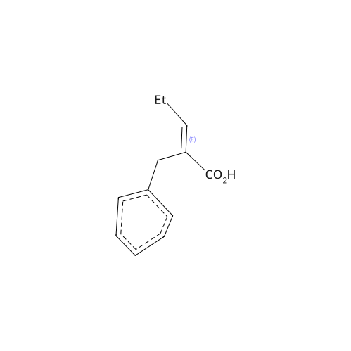 CC/C=C(\Cc1ccccc1)C(=O)O